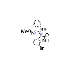 CO/N=C1/C(=C2/C(=O)Nc3c(Br)cccc32)NC2C=CC=CC12